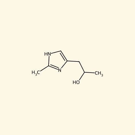 Cc1nc(CC(C)O)c[nH]1